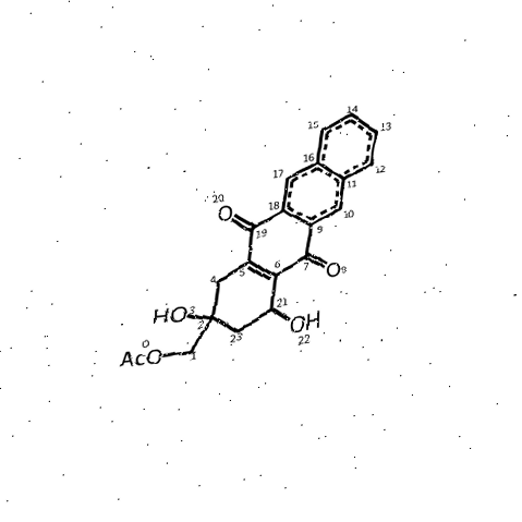 CC(=O)OCC1(O)CC2=C(C(=O)c3cc4ccccc4cc3C2=O)C(O)C1